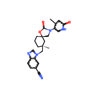 Cc1cc(=O)[nH]cc1N1C[C@@]2(CCC[C@](C)(Cn3cnc4ccc(C#N)cc43)C2)OC1=O